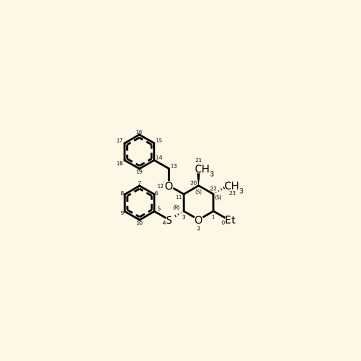 CCC1O[C@H](Sc2ccccc2)C(OCc2ccccc2)[C@@H](C)[C@@H]1C